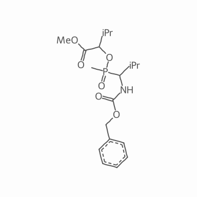 COC(=O)C(OP(C)(=O)C(NC(=O)OCc1ccccc1)C(C)C)C(C)C